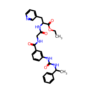 CCOC(=O)C(Cc1cccnc1)NC(=O)CNC(=O)c1cccc(NC(=O)NC(C)c2ccccc2)c1